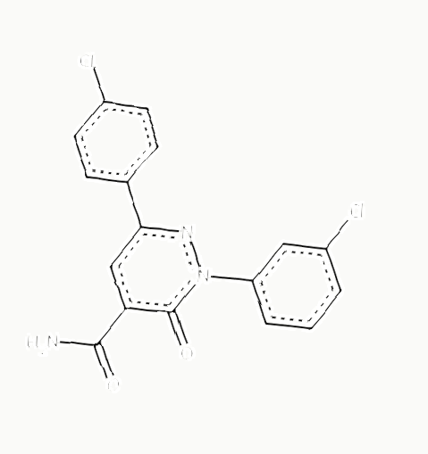 NC(=O)c1cc(-c2ccc(Cl)cc2)nn(-c2cccc(Cl)c2)c1=O